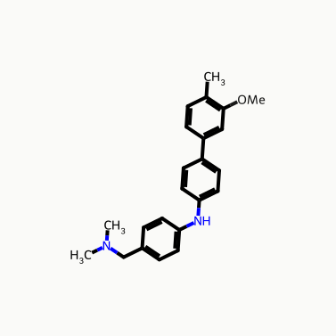 COc1cc(-c2ccc(Nc3ccc(CN(C)C)cc3)cc2)ccc1C